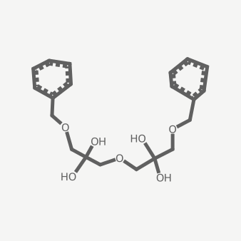 OC(O)(COCc1ccccc1)COCC(O)(O)COCc1ccccc1